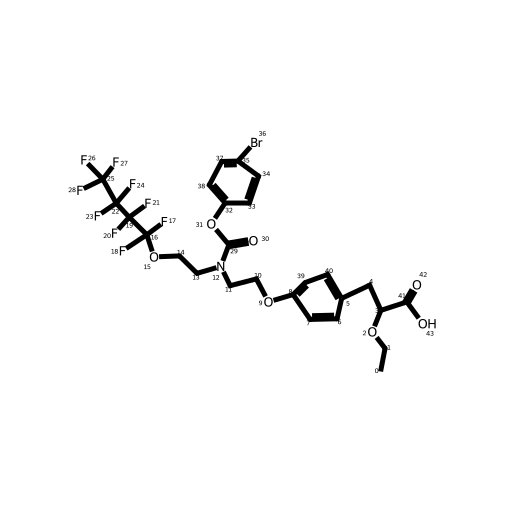 CCOC(Cc1ccc(OCCN(CCOC(F)(F)C(F)(F)C(F)(F)C(F)(F)F)C(=O)Oc2ccc(Br)cc2)cc1)C(=O)O